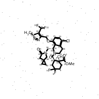 COC(=O)[C@@]1(C)CCC(F)(F)C[C@H]1C(=O)N1CCc2c(Cl)ccc(OCc3nnn(C)c3C(F)F)c2[C@H]1CN1CC2(CC2)CC1=O